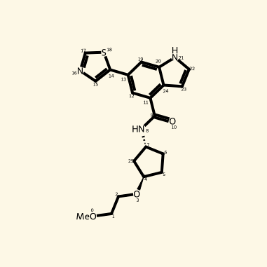 COCCO[C@@H]1CC[C@@H](NC(=O)c2cc(-c3cncs3)cc3[nH]ccc23)C1